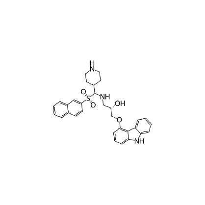 O=S(=O)(c1ccc2ccccc2c1)C(NC[C@H](O)COc1cccc2[nH]c3ccccc3c12)C1CCNCC1